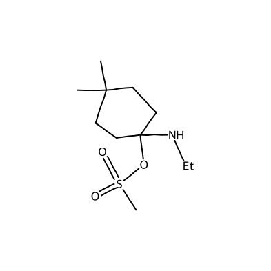 CCNC1(OS(C)(=O)=O)CCC(C)(C)CC1